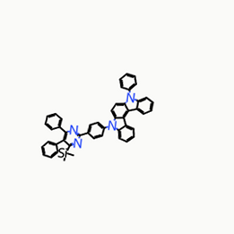 C[Si]1(C)c2ccccc2-c2c(-c3ccccc3)nc(-c3ccc(-n4c5ccccc5c5c6c7ccccc7n(-c7ccccc7)c6ccc54)cc3)nc21